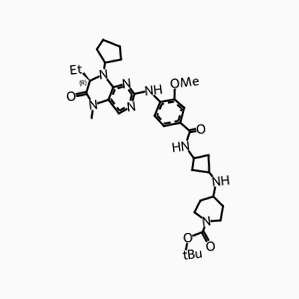 CC[C@@H]1C(=O)N(C)c2cnc(Nc3ccc(C(=O)NC4CC(NC5CCN(C(=O)OC(C)(C)C)CC5)C4)cc3OC)nc2N1C1CCCC1